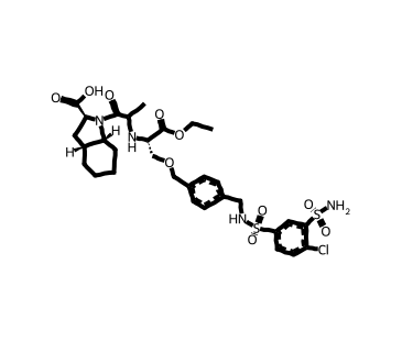 CCOC(=O)[C@H](COCc1ccc(CNS(=O)(=O)c2ccc(Cl)c(S(N)(=O)=O)c2)cc1)NC(C)C(=O)N1[C@@H]2CCCC[C@@H]2C[C@H]1C(=O)O